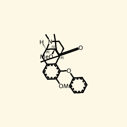 COc1ccc2c(c1Oc1ccccc1)[C@]13CCN(C)[C@H](C2)[C@]1(OC)C(C)CC(=O)C3